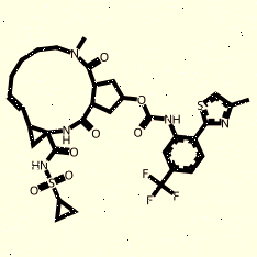 Cc1csc(-c2ccc(C(F)(F)F)cc2NC(=O)OC2CC3C(=O)NC4(C(=O)NS(=O)(=O)C5CC5)CC4/C=C/CCCCN(C)C(=O)C3C2)n1